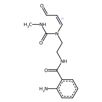 CNC(=O)N(/C=C\C=O)CCNC(=O)c1ccccc1N